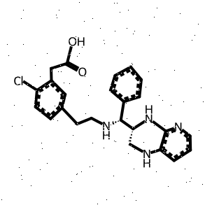 O=C(O)Cc1cc(CCN[C@H](c2ccccc2)[C@H]2CNc3cccnc3N2)ccc1Cl